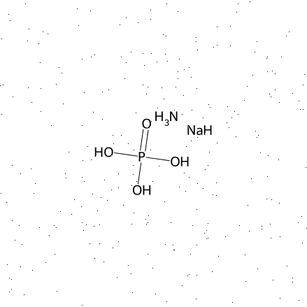 N.O=P(O)(O)O.[NaH]